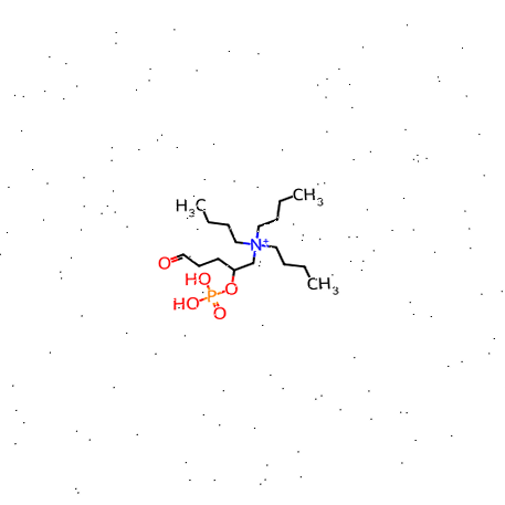 CCCC[N+](CCCC)(CCCC)CC(CCC=O)OP(=O)(O)O